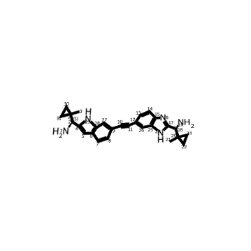 CC1([C@H](N)c2cc3ccc(C#Cc4ccc5nc([C@@H](N)C6(C)CC6)[nH]c5c4)cc3[nH]2)CC1